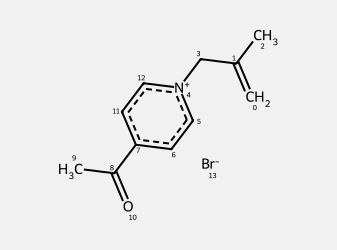 C=C(C)C[n+]1ccc(C(C)=O)cc1.[Br-]